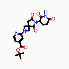 CC(C)(C)OC(=O)c1ccnc(N2CC3(CC(=O)N(C4CCC(=O)NC4=O)C3=O)C2)c1